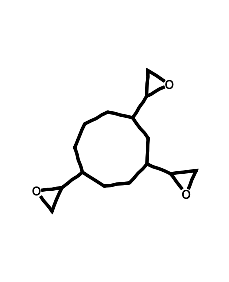 C1CC(C2CO2)CCC(C2CO2)CC(C2CO2)C1